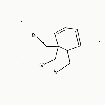 ClCC1(CBr)C=CC=CC1CBr